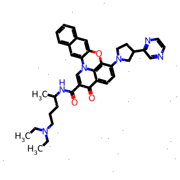 CCN(CC)CCCC(C)NC(=O)c1cn2c3c(c(N4CCC(c5cnccn5)C4)ccc3c1=O)Oc1cc3ccccc3cc1-2